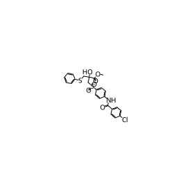 COC(=O)C(O)(CSc1ccccc1)CS(=O)(=O)c1ccc(NC(=O)c2ccc(Cl)cc2)cc1